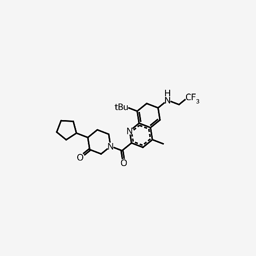 Cc1cc(C(=O)N2CCC(C3CCCC3)C(=O)C2)nc2c1=CC(NCC(F)(F)F)CC=2C(C)(C)C